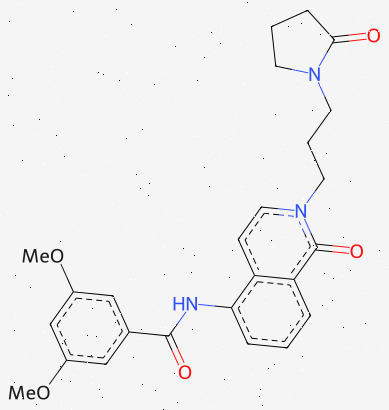 COc1cc(OC)cc(C(=O)Nc2cccc3c(=O)n(CCCN4CCCC4=O)ccc23)c1